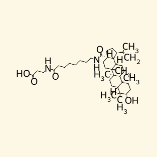 C=C(C)[C@@H]1CC[C@]2(C(=O)NCCCCCCCC(=O)NCCC(=O)O)CC[C@]3(C)[C@H](CCC4[C@@]5(C)CC[C@H](O)C(C)(C)[C@@H]5CC[C@]43C)[C@@H]12